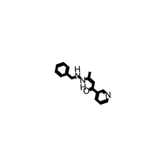 CC(=CC(=O)c1cccnc1)NNCc1ccccc1